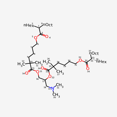 CCCCCCCCC(CCCCCC)C(=O)OCCCCC(C)(C)C(=O)OCC(CN(C)C)OC(=O)C(C)(C)CCCCOC(=O)[C@@H](CCCCCC)CCCCCCCC